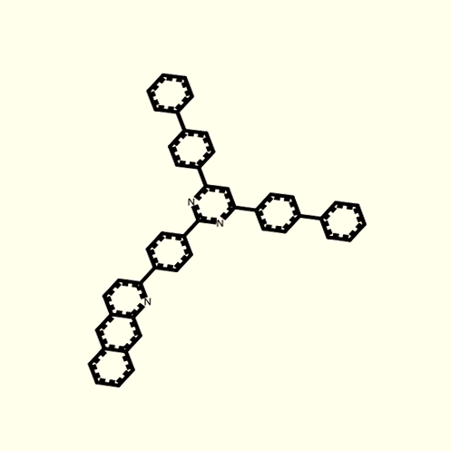 c1ccc(-c2ccc(-c3cc(-c4ccc(-c5ccccc5)cc4)nc(-c4ccc(-c5ccc6cc7ccccc7cc6n5)cc4)n3)cc2)cc1